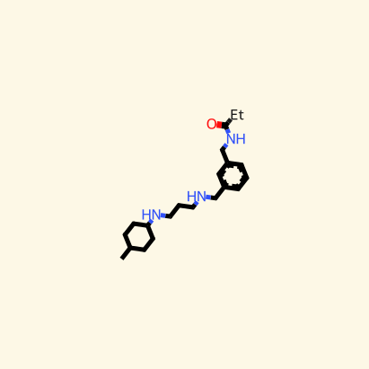 CCC(=O)NCc1cccc(CNCCCNC2CCC(C)CC2)c1